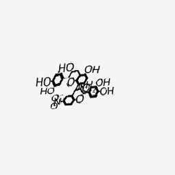 NC1C2c3cc([N+](=O)[O-])ccc3OC1(c1ccc(O)c(O)c1)Oc1cc(O)c3c(c12)O[C@H](c1ccc(O)c(O)c1)[C@@H](O)C3